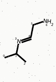 CC(C)N=CCN